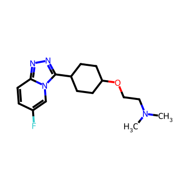 CN(C)CCOC1CCC(c2nnc3ccc(F)cn23)CC1